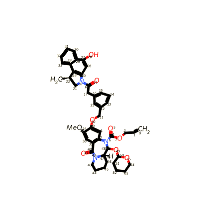 C=CCOC(=O)N1c2cc(OCc3cccc(CC(=O)N4C[C@@H](C)c5c4cc(O)c4ccccc54)c3)c(OC)cc2C(=O)N2CCCC[C@H]2C1OC1CCCCO1